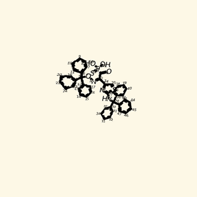 O=C(C(=NOC(c1ccccc1)(c1ccccc1)c1ccccc1)c1csc(NC(c2ccccc2)(c2ccccc2)c2ccccc2)n1)P(O)(O)=S